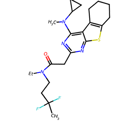 CCN(CCC(C)(F)F)C(=O)Cc1nc(N(C)C2CC2)c2c3c(sc2n1)CCCC3